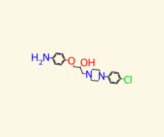 Nc1ccc(OC[C@@H](O)CN2CCN(c3ccc(Cl)cc3)CC2)cc1